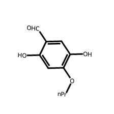 CCCOc1cc(O)c(C=O)cc1O